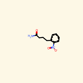 NC(=O)CCCc1ccccc1[N+](=O)[O-]